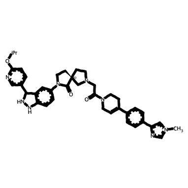 CC(C)Oc1ccc(C2NNc3ccc(N4CC[C@]5(CCN(CC(=O)N6CC=C(c7ccc(-c8cn(C)cn8)cc7)CC6)C5)C4=O)cc32)cn1